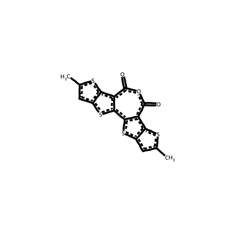 Cc1cc2sc3c4sc5cc(C)sc5c4c(=O)oc(=O)c3c2s1